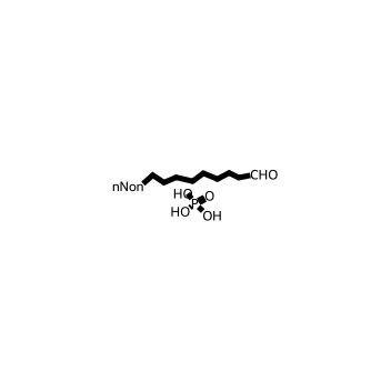 CCCCCCCCCCCCCCCCCC=O.O=P(O)(O)O